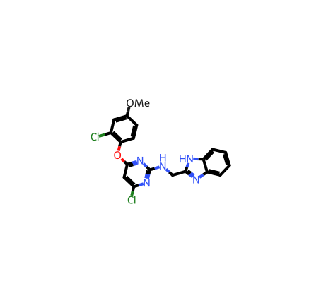 COc1ccc(Oc2cc(Cl)nc(NCc3nc4ccccc4[nH]3)n2)c(Cl)c1